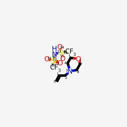 C=CCN1CCOCC1.O=S(=O)(NS(=O)(=O)C(F)(F)F)C(F)(F)F